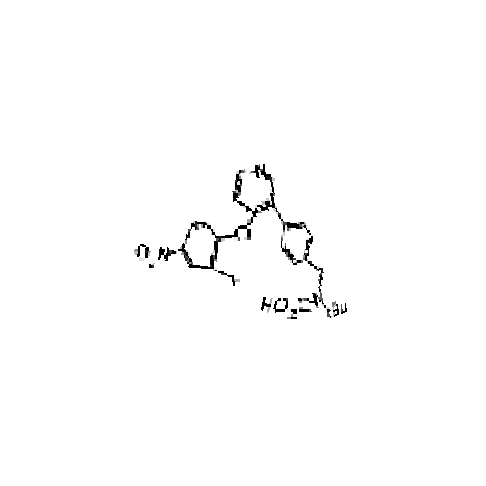 CC(C)(C)N(Cc1ccc(-c2cnccc2Oc2ccc([N+](=O)[O-])cc2F)cc1)C(=O)O